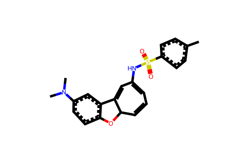 Cc1ccc(S(=O)(=O)NC2=CC=CC3Oc4ccc(N(C)C)cc4C3=C2)cc1